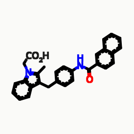 Cc1c(Cc2ccc(NC(=O)c3ccc4ccccc4c3)cc2)c2ccccc2n1CC(=O)O